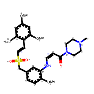 COc1cc(OC)c(/C=C/S(=O)(=O)Cc2ccc(OC)c(N/C=C\C(=O)N3CCN(C)CC3)c2)c(OC)c1